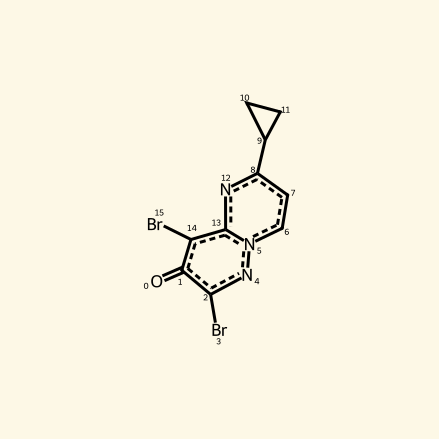 O=c1c(Br)nn2ccc(C3CC3)nc2c1Br